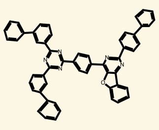 c1ccc(-c2ccc(-c3nc(-c4ccc(-c5nc(-c6cccc(-c7ccccc7)c6)nc(-c6cccc(-c7ccccc7)c6)n5)cc4)c4oc5ccccc5c4n3)cc2)cc1